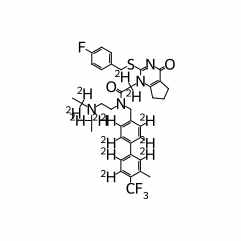 [2H]c1c([2H])c(-c2c([2H])c([2H])c(C(F)(F)F)c(C)c2[2H])c([2H])c([2H])c1CN(CCN(C([2H])([2H])C)C([2H])([2H])C)C(=O)C([2H])([2H])n1c(SCc2ccc(F)cc2)nc(=O)c2c1CCC2